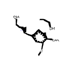 CCO.COc1cc(/C=C/CO)ccc1O